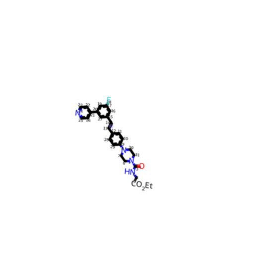 CCOC(=O)CNC(=O)N1CCN(c2ccc(/C=C/c3cc(F)cc(-c4ccncc4)c3)cc2)CC1